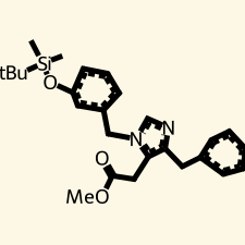 COC(=O)Cc1c(Cc2ccccc2)ncn1Cc1cccc(O[Si](C)(C)C(C)(C)C)c1